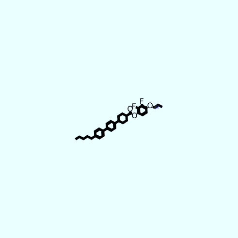 C/C=C/Oc1ccc(OC(=O)C2CCC(c3ccc(-c4ccc(CCCCC)cc4)cc3)CC2)c(F)c1F